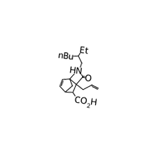 C=CCC1(C(=O)NCC(CC)CCCC)C(C(=O)O)C2C=CC1(C)C2